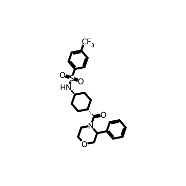 O=C([C@H]1CC[C@H](NS(=O)(=O)c2ccc(C(F)(F)F)cc2)CC1)N1CCOCC1c1ccccc1